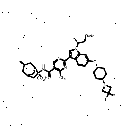 COC[C@H](C)n1cc(-c2ncc(C(=O)NC3(C(=O)O)CC4CC(C)CC3C4)c(C(F)(F)F)n2)c2ccc(O[C@H]3CC[C@H](N4CC(F)(F)C4)CC3)cc21